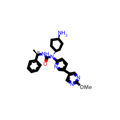 COc1ncc(-c2ccc(N(C(=O)N[C@H](C)c3ccccc3)[C@H]3CC[C@H](N)CC3)nc2)cn1